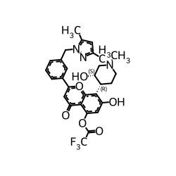 Cc1cc(C)n(Cc2cccc(-c3cc(=O)c4c(OC(=O)C(F)(F)F)cc(O)c([C@H]5CCN(C)C[C@H]5O)c4o3)c2)n1